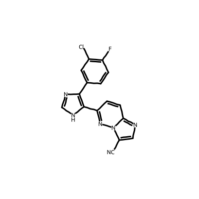 N#Cc1cnc2ccc(-c3[nH]cnc3-c3ccc(F)c(Cl)c3)nn12